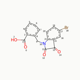 O=C(O)c1ccccc1CN1C(=O)C(=O)c2cc(Br)ccc21